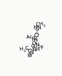 CC(=O)c1nn(CC(=O)N2C[C@H](F)C[C@H]2C(=O)Nc2cc(C)cc(Br)n2)c2ccc(-c3cnc(C)nc3)cc12